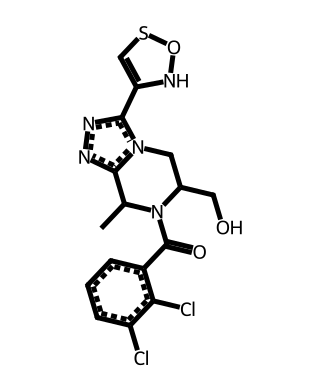 CC1c2nnc(C3=CSON3)n2CC(CO)N1C(=O)c1cccc(Cl)c1Cl